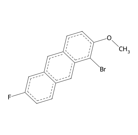 COc1ccc2cc3cc(F)ccc3cc2c1Br